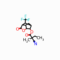 CCC(C)(C#N)C(=O)OC1C2CC3C1OC(=O)C3C2C(F)(F)F